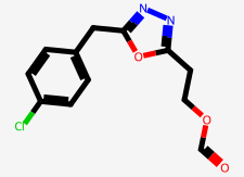 O=COCCc1nnc(Cc2ccc(Cl)cc2)o1